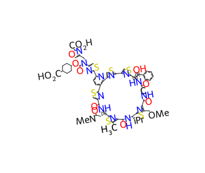 CNC(=O)C[C@@H]1NC(=O)c2csc(n2)-c2ccc(-c3nc(N(Cc4coc(C(=O)O)n4)C(=O)O[C@H]4CC[C@H](C(=O)O)CC4)cs3)nc2-c2csc(n2)-c2csc(n2)[C@H]([C@@H](O)c2ccccc2)NC(=O)CNC(=O)c2nc(sc2COC)C(C(C)C)NC(=O)c2nc1sc2C